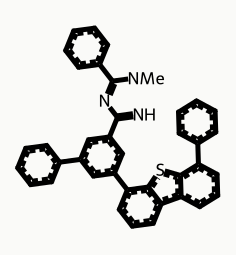 CN/C(=N\C(=N)c1cc(-c2ccccc2)cc(-c2cccc3c2sc2c(-c4ccccc4)cccc23)c1)c1ccccc1